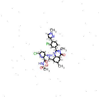 Cc1cc([C@@H](C)Nc2ccc(Cl)nc2C(=O)NS(C)(=O)=O)c2nc(-c3ccc(-c4ccn(C)n4)c(F)c3)n(C)c(=O)c2c1